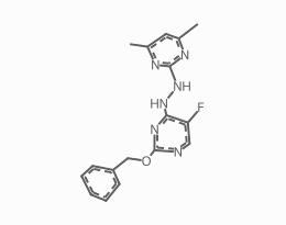 Cc1cc(C)nc(NNc2nc(OCc3ccccc3)ncc2F)n1